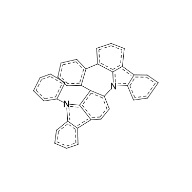 c1ccc(-n2c3ccccc3c3ccc4c(c32)-c2ccccc2-c2cccc3c5ccccc5n-4c23)cc1